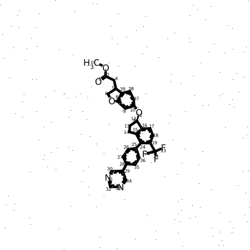 COC(=O)CC1COc2cc(O[C@@H]3CCc4c3ccc(C(F)(F)F)c4-c3ccc(-c4cncnc4)cc3)ccc21